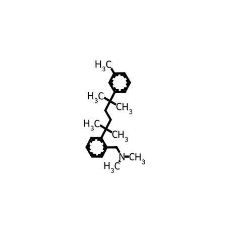 Cc1cccc(C(C)(C)CCC(C)(C)c2ccccc2CN(C)C)c1